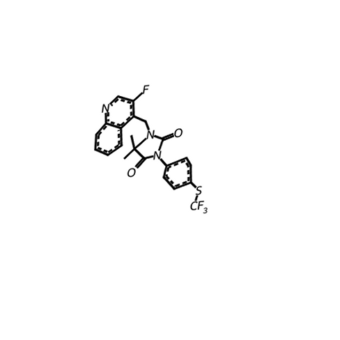 CC1(C)C(=O)N(c2ccc(SC(F)(F)F)cc2)C(=O)N1Cc1c(F)cnc2ccccc12